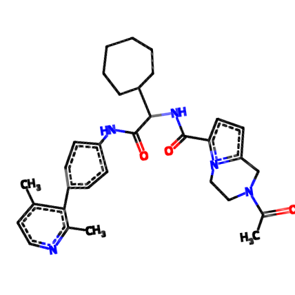 CC(=O)N1CCn2c(ccc2C(=O)NC(C(=O)Nc2ccc(-c3c(C)ccnc3C)cc2)C2CCCCCC2)C1